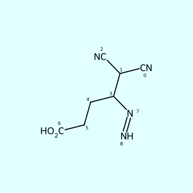 N#CC(C#N)C(CCC(=O)O)N=N